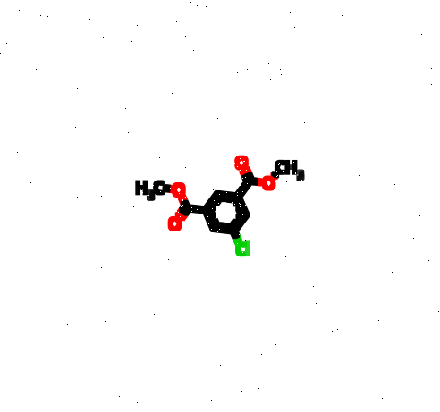 COC(=O)c1cc(Cl)cc(C(=O)OC)c1